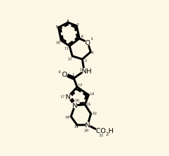 O=C(NC1COc2ccccc2C1)c1cc2n(n1)CCN(C(=O)O)C2